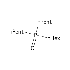 CCCCCCP(=O)(CCCCC)CCCCC